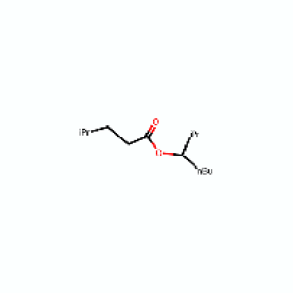 CCCCC(OC(=O)CCC(C)C)C(C)C